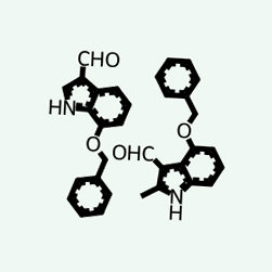 Cc1[nH]c2cccc(OCc3ccccc3)c2c1C=O.O=Cc1c[nH]c2c(OCc3ccccc3)cccc12